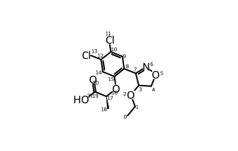 CCOC1CON=C1c1cc(Cl)c(Cl)cc1O[C@@H](C)C(=O)O